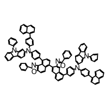 c1ccc(-c2nc3c(ccc4c(-c5cc6cccc(-c7ccc(N(c8ccc(-c9cccc%10ccccc9%10)cc8)c8ccc9c%10ccccc%10n(-c%10ccccc%10)c9c8)cc7)c6c6oc(-c7ccccc7)nc56)ccc(-c5ccc(N(c6ccc(-c7cccc8ccccc78)cc6)c6ccc7c8ccccc8n(-c8ccccc8)c7c6)cc5)c43)o2)cc1